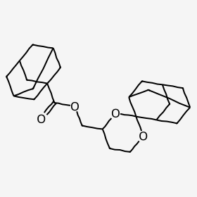 O=C(OCC1CCOC2(O1)C1CC3CC(C1)CC2C3)C12CC3CC(CC(C3)C1)C2